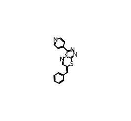 C1=Nn2c(nnc2-c2ccncc2)SC1=Cc1ccccc1